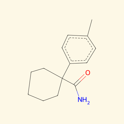 Cc1ccc(C2(C(N)=O)CCCCC2)cc1